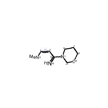 CN/C=C\C(=N)N1CCCOC1